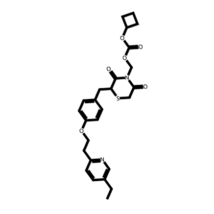 CCc1ccc(CCOc2ccc(CC3SCC(=O)N(COC(=O)OC4CCC4)C3=O)cc2)nc1